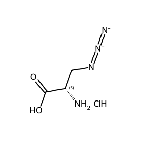 Cl.[N-]=[N+]=NC[C@H](N)C(=O)O